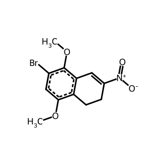 COc1cc(Br)c(OC)c2c1CCC([N+](=O)[O-])=C2